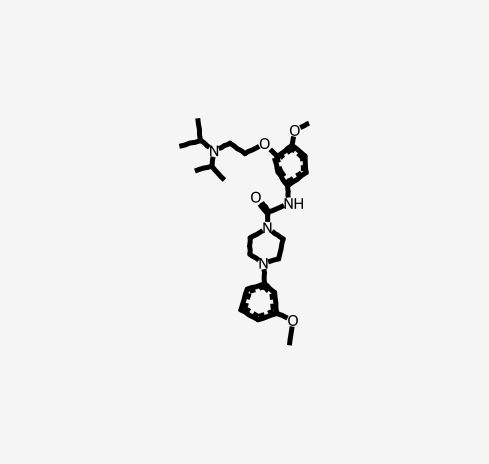 COc1cccc(N2CCN(C(=O)Nc3ccc(OC)c(OCCN(C(C)C)C(C)C)c3)CC2)c1